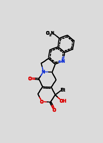 CCC1(O)C(=O)OCC2=C1CC1c3nc4cccc([N+](=O)[O-])c4cc3CN1C2=O